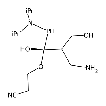 CC(C)N(P[C@@](O)(OCCC#N)C(CN)CO)C(C)C